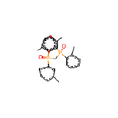 Cc1cccc(P(=O)(CP(=O)(c2ccccc2C)c2ccccc2C)c2ccccc2C)c1